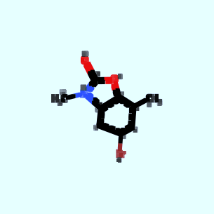 Cc1cc(Br)cc2c1oc(=O)n2C